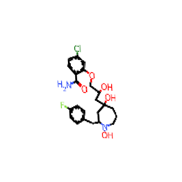 NC(=O)c1ccc(Cl)cc1OCC(O)CC1(O)CCCN(O)C(Cc2ccc(F)cc2)C1